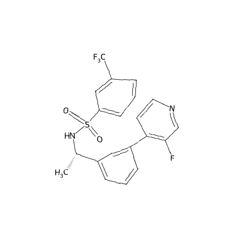 C[C@H](NS(=O)(=O)c1cccc(C(F)(F)F)c1)c1cccc(-c2ccncc2F)c1